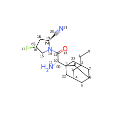 CCC12CC3CC(C1)CC([C@H](N)C(=O)N1C[C@@H](F)C[C@H]1C#N)(C3)C2